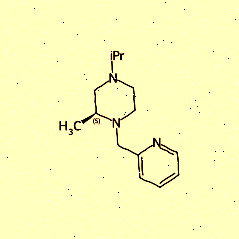 CC(C)N1CCN(Cc2ccccn2)[C@@H](C)C1